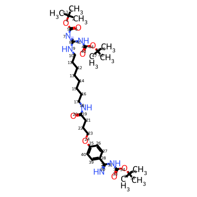 CC(C)(C)OC(=O)/N=C(/NCCCCCCCCNC(=O)CCCOc1ccc(C(=N)NC(=O)OC(C)(C)C)cc1)NC(=O)OC(C)(C)C